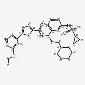 CCOc1cncc(-c2cnc(C(=O)N[C@H](CCN3CCCCC3)c3cc(NS(=O)(=O)C4CC4)ccn3)s2)n1